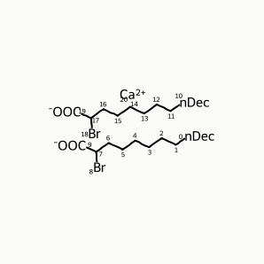 CCCCCCCCCCCCCCCCC(Br)C(=O)[O-].CCCCCCCCCCCCCCCCC(Br)C(=O)[O-].[Ca+2]